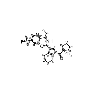 CC[C@@H](NC(=O)c1cc(C(=O)N2CCC[C@@H]2C)n2c1COCC2)c1ncc(C(F)(F)F)cn1